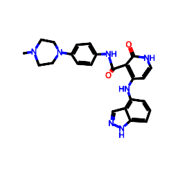 CN1CCN(c2ccc(NC(=O)c3c(Nc4cccc5[nH]ncc45)cc[nH]c3=O)cc2)CC1